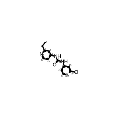 CCc1cc(NC(=O)Nc2ccnc(Cl)c2)ccn1